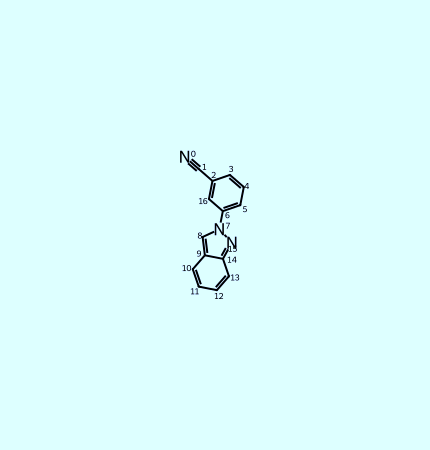 N#Cc1cccc(-n2cc3ccccc3n2)c1